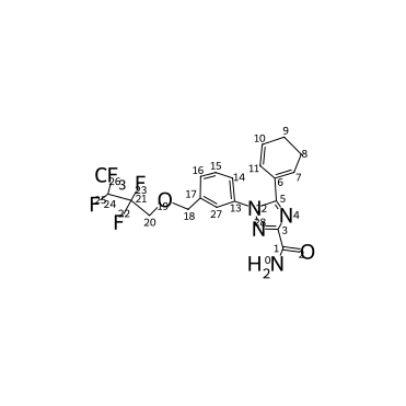 NC(=O)c1nc(C2=CCCC=C2)n(-c2cccc(COCC(F)(F)C(F)C(F)(F)F)c2)n1